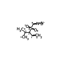 C=CC(C(C)C)S(=O)(=O)C=[N+]=[N-]